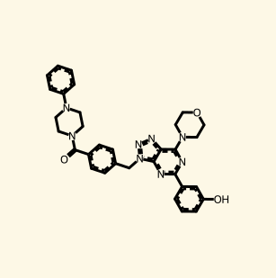 O=C(c1ccc(Cn2nnc3c(N4CCOCC4)nc(-c4cccc(O)c4)nc32)cc1)N1CCN(c2ccccc2)CC1